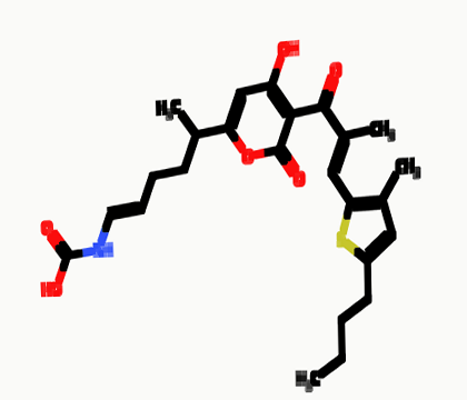 CCCCc1cc(C)c(C=C(C)C(=O)c2c(O)cc(C(C)CCC=CNC(=O)O)oc2=O)s1